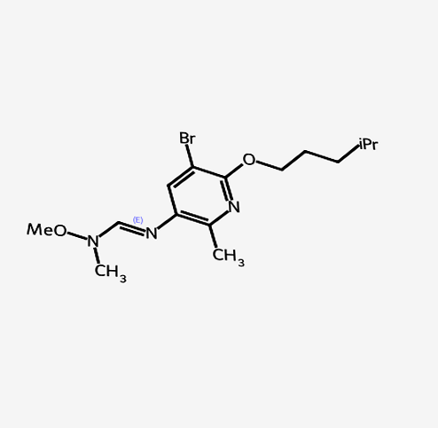 CON(C)/C=N/c1cc(Br)c(OCCCC(C)C)nc1C